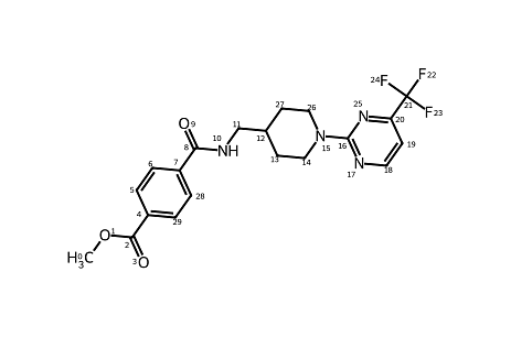 COC(=O)c1ccc(C(=O)NCC2CCN(c3nccc(C(F)(F)F)n3)CC2)cc1